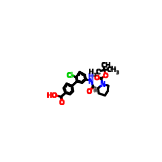 CC(C)(C)OC(=O)N1CCCC[C@@H]1C(=O)Nc1ccc(Cl)c(-c2ccc(C(=O)O)cc2)c1